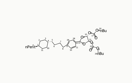 CCCCC[C@H]1CC[C@H](CCCCc2ccc(C3O[C@H](OC(=O)OCCCC)[C@@H](OC(=O)OCCCC)O3)cc2)CC1